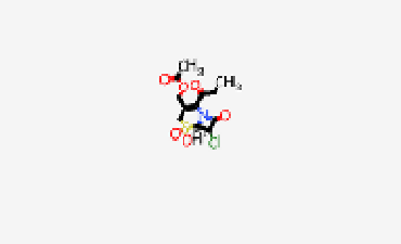 CCC(=O)C1=C(COC(C)=O)CS(=O)(=O)[C@H]2[C@@H](Cl)C(=O)N12